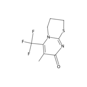 Cc1c(C(F)(F)F)n2c(nc1=O)SCCC2